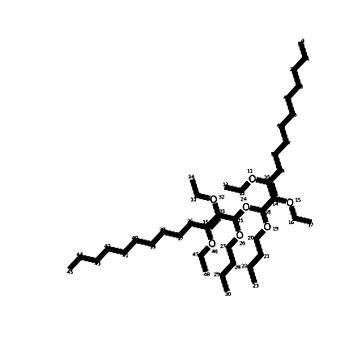 CCCCCCCCCCC(OCC)=C(OCC)C(OCCCC)OC(OCCCC)C(OCC)=C(CCCCCCCCCC)OCC